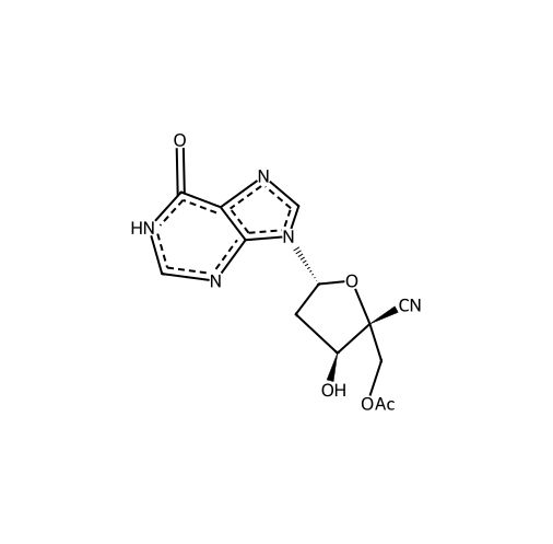 CC(=O)OC[C@@]1(C#N)O[C@@H](n2cnc3c(=O)[nH]cnc32)C[C@@H]1O